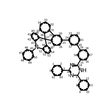 c1ccc(C2=NC(c3ccccc3)NC(c3cccc(-c4cccc(-c5ccc6c(c5)-c5ccccc5C65c6ccccc6N(c6ccccc6)c6ccccc65)c4)c3)=N2)cc1